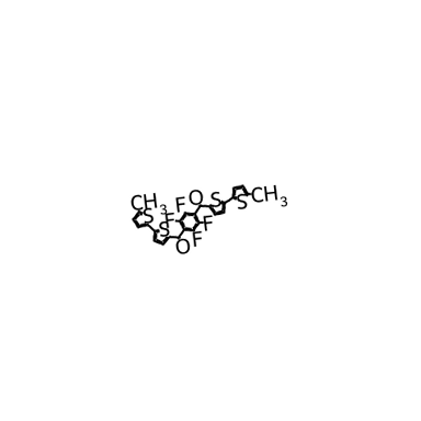 Cc1ccc(-c2ccc(C(=O)c3c(F)c(F)c(C(=O)c4ccc(-c5ccc(C)s5)s4)c(F)c3F)s2)s1